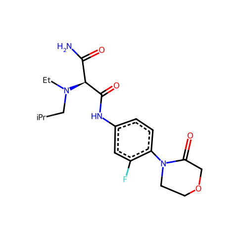 CCN(CC(C)C)[C@@H](C(N)=O)C(=O)Nc1ccc(N2CCOCC2=O)c(F)c1